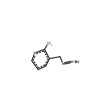 [N-]=[N+]=NCc1cccnc1C(F)(F)F